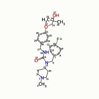 CN1CCC(N(Cc2ccc(F)cc2)C(=O)NCc2ccc(OCC(C)(C)O)cc2)CC1